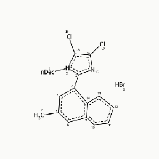 Br.CCCCCCCCCCn1c(-c2cc(C)cc3ccccc23)nc(Cl)c1Cl